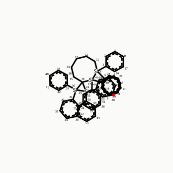 c1ccc([Si]2(c3ccccc3)CCCCCC3([Si]2(c2ccccc2)c2ccccc2)[Si](c2ccccc2)(c2ccccc2)[Si]3(c2ccccc2)c2ccccc2)cc1